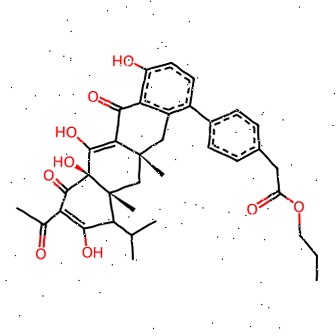 CCCOC(=O)Cc1ccc(-c2ccc(O)c3c2C[C@]2(C)C[C@]4(C)C(C(C)C)C(O)=C(C(C)=O)C(=O)[C@]4(O)C(O)=C2C3=O)cc1